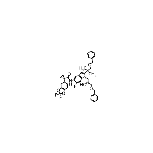 CC(C)(COCc1ccccc1)c1cc2cc(NC(=O)C3(C4C=CC5=C(C4)OC(F)(F)O5)CC3)c(F)cc2n1C[C@@H](O)COCc1ccccc1